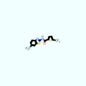 O=C(Nc1nc2ccc(C(F)(F)F)cc2s1)c1ccc(C(F)(F)F)s1